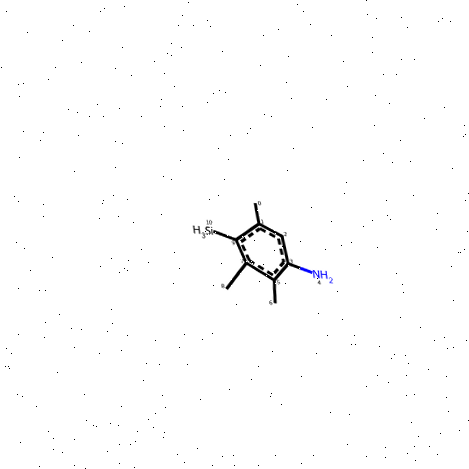 Cc1cc(N)c(C)c(C)c1[SiH3]